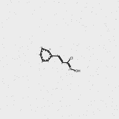 ON=C(Cl)C=Cc1ccccc1